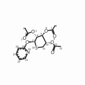 CC(=O)O[C@@H]1[C@@H](OC(C)=O)[C@H](OC(C)=O)CS[C@H]1Oc1ccccn1